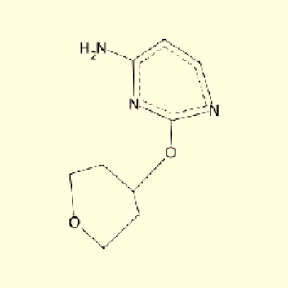 Nc1ccnc(OC2CCOCC2)n1